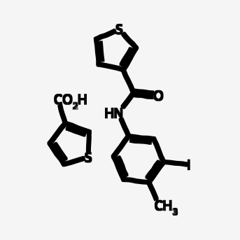 Cc1ccc(NC(=O)c2ccsc2)cc1I.O=C(O)c1ccsc1